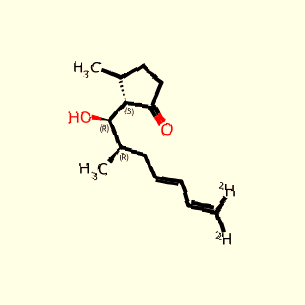 [2H]C([2H])=CC=CC[C@@H](C)[C@@H](O)[C@H]1C(=O)CCC1C